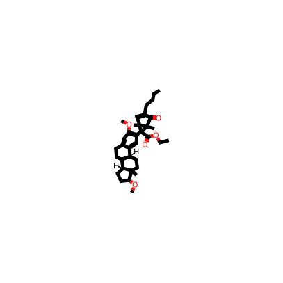 CCCCC1=CC2(C)C(C)(C1=O)C2(C(=O)OCC)c1cc2c(cc1OC)CCC1[C@@H]2CCC2(C)C(OC)CC[C@@H]12